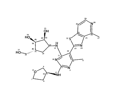 Cc1nc(N[C@H]2CCOC2)nc(NC2C[C@H](CO)[C@@H](O)[C@H]2O)c1-c1nc2c(C)nccc2s1